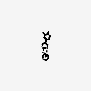 Cc1ccc(-c2cnc(O[C@H]3CN4CCC3CC4)nc2)cc1C